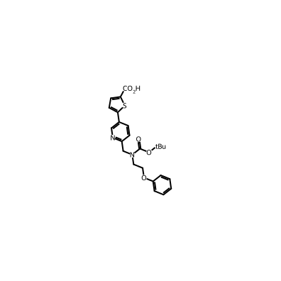 CC(C)(C)OC(=O)N(CCOc1ccccc1)Cc1ccc(-c2ccc(C(=O)O)s2)cn1